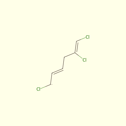 Cl[CH]C=CCC(Cl)=CCl